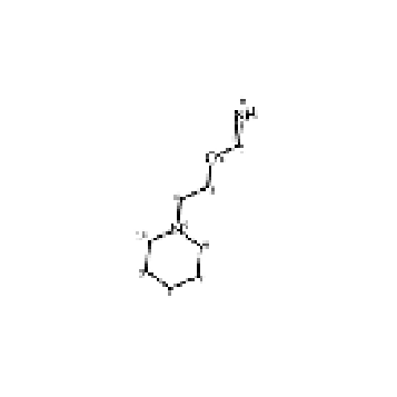 N=COCCN1CCCCC1